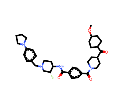 COC1CCC(C(=O)C2CCN(C(=O)c3ccc(C(=O)NC4CCN(Cc5ccc(N6CCCC6)cc5)C[C@H]4F)cc3)CC2)CC1